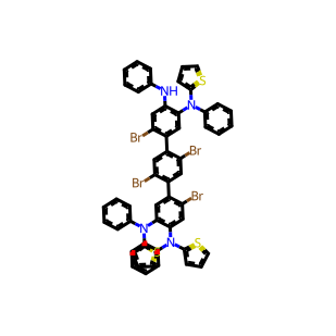 Brc1cc(-c2cc(N(c3ccccc3)c3cccs3)c(N(c3ccccc3)c3cccs3)cc2Br)c(Br)cc1-c1cc(N(c2ccccc2)c2cccs2)c(Nc2ccccc2)cc1Br